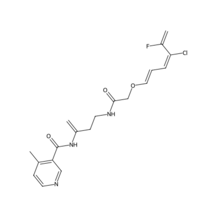 C=C(CCNC(=O)CO/C=C/C=C(/Cl)C(=C)F)NC(=O)c1cnccc1C